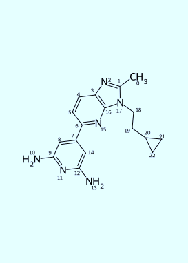 Cc1nc2ccc(-c3cc(N)nc(N)c3)nc2n1CCC1CC1